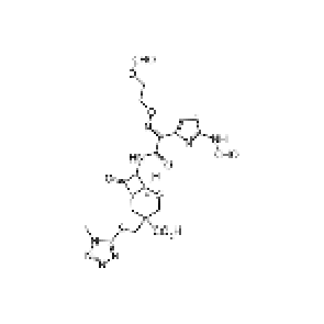 Cn1nnnc1SCC1(C(=O)O)CS[C@@H]2C(NC(=O)C(=NOCCOC=O)c3csc(NC=O)n3)C(=O)N2C1